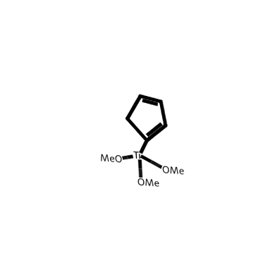 C[O][Ti]([O]C)([O]C)[C]1=CC=CC1